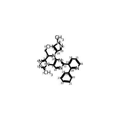 CCC1c2nnc(C)n2-c2cnc(-c3cccnc3-c3ccccc3)nc2N1c1cnn(C)c1